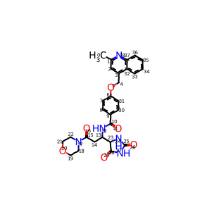 Cc1cc(COc2ccc(C(=O)NC(CC(=O)N3CCOCC3)C3NC(=O)NC3=O)cc2)c2ccccc2n1